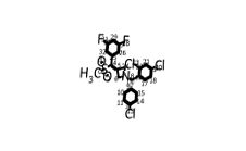 CS(=O)(=O)C(=C1CN([C@@H](c2ccc(Cl)cc2)c2ccc(Cl)cc2Cl)C1)c1cc(F)cc(F)c1